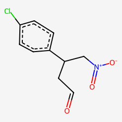 O=CCC(C[N+](=O)[O-])c1ccc(Cl)cc1